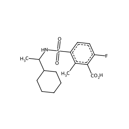 Cc1c(S(=O)(=O)NC(C)C2CCCCC2)ccc(F)c1C(=O)O